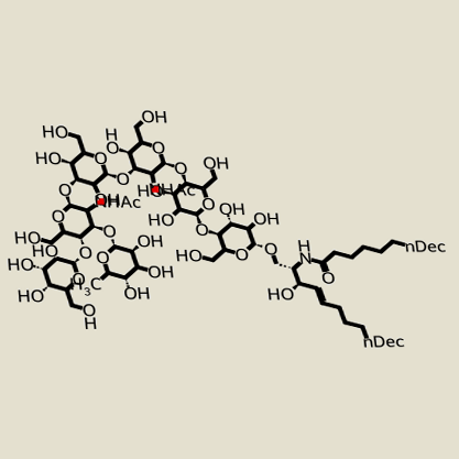 CCCCCCCCCCCCC/C=C/[C@@H](O)[C@H](CO[C@@H]1OC(CO)[C@@H](O[C@@H]2OC(CO)[C@H](O[C@@H]3OC(CO)[C@H](O)[C@H](O[C@@H]4OC(CO)[C@H](O)[C@H](O[C@@H]5OC(CO)[C@@H](O[C@@H]6OC(CO)[C@H](O)[C@H](O)C6O)[C@H](O[C@H]6OC(C)[C@@H](O)C(O)[C@@H]6O)C5NC(C)=O)C4O)C3NC(C)=O)[C@H](O)C2O)[C@H](O)C1O)NC(=O)CCCCCCCCCCCCCCC